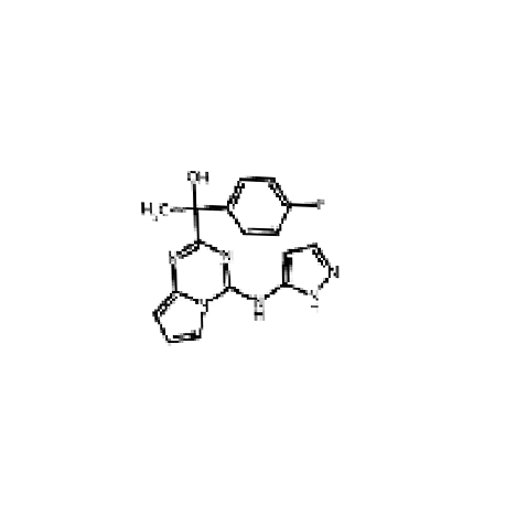 CC(O)(c1ccc(F)cc1)c1nc(Nc2ccn[nH]2)n2cccc2n1